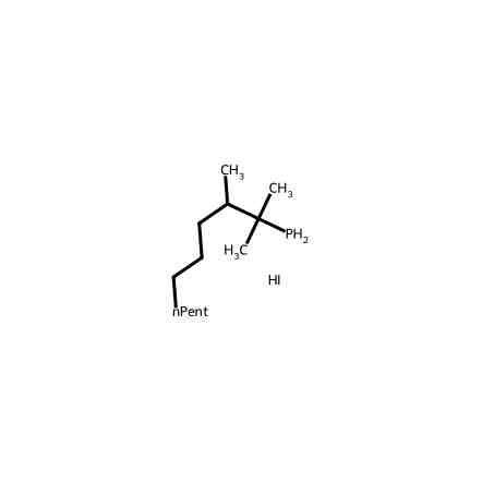 CCCCCCCCC(C)C(C)(C)P.I